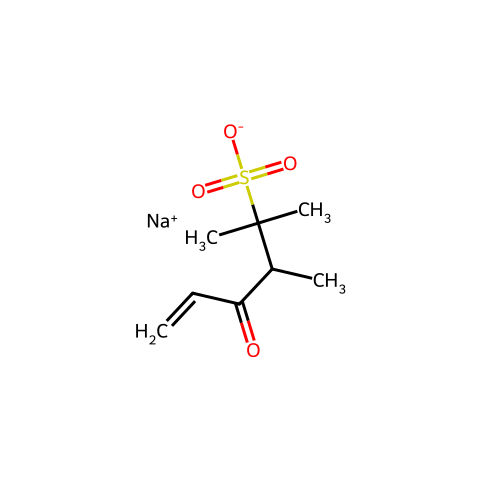 C=CC(=O)C(C)C(C)(C)S(=O)(=O)[O-].[Na+]